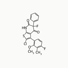 COc1c(-c2c(Cl)sc3c2C(=O)C(F)(c2ccccc2)C(=O)N3)ccc(F)c1C